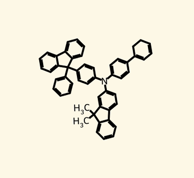 CC1(C)c2ccccc2-c2ccc(N(c3ccc(C4=CC=CCC4)cc3)c3ccc(C4(c5ccccc5)c5ccccc5-c5ccccc54)cc3)cc21